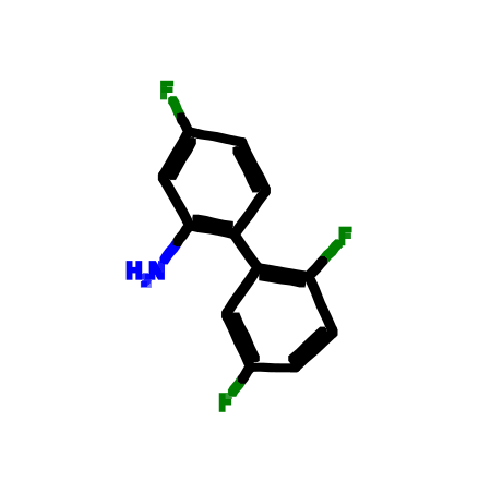 Nc1cc(F)ccc1-c1cc(F)ccc1F